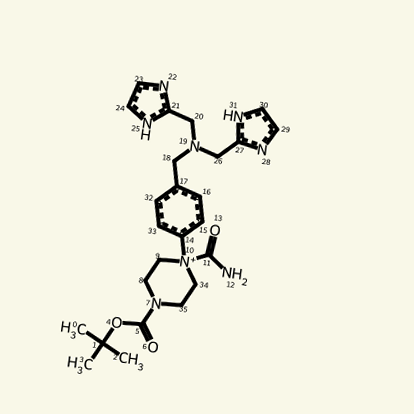 CC(C)(C)OC(=O)N1CC[N+](C(N)=O)(c2ccc(CN(Cc3ncc[nH]3)Cc3ncc[nH]3)cc2)CC1